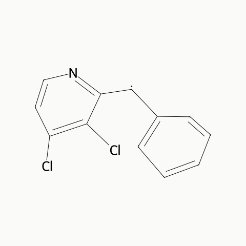 Clc1ccnc([CH]c2ccccc2)c1Cl